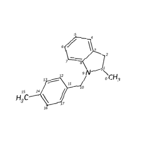 C[C]1Cc2ccccc2N1Cc1ccc(C)cc1